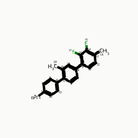 CCCc1ccc(-c2ccc(-c3ccc(C)c(F)c3F)cc2C)cc1